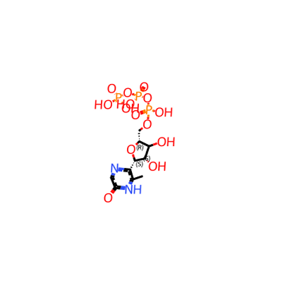 Cc1[nH]c(=O)cnc1[C@@H]1O[C@H](COP(=O)(O)OP(=O)(O)OP(=O)(O)O)C(O)[C@@H]1O